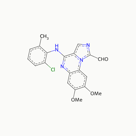 COc1cc2nc(Nc3c(C)cccc3Cl)c3cnc(C=O)n3c2cc1OC